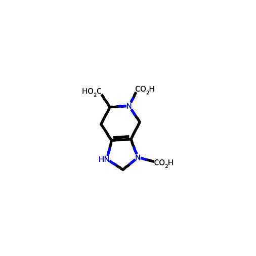 O=C(O)C1CC2=C(CN1C(=O)O)N(C(=O)O)CN2